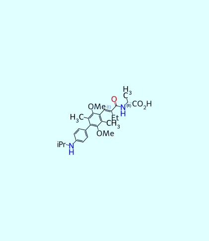 CC/C(=C\c1c(C)c(OC)c(-c2ccc(NC(C)C)cc2)c(C)c1OC)C(=O)N[C@H](C)C(=O)O